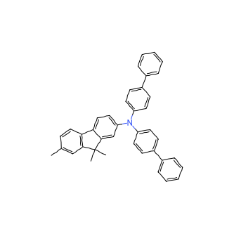 Cc1ccc2c(c1)C(C)(C)c1cc(N(c3ccc(-c4ccccc4)cc3)c3ccc(-c4ccccc4)cc3)ccc1-2